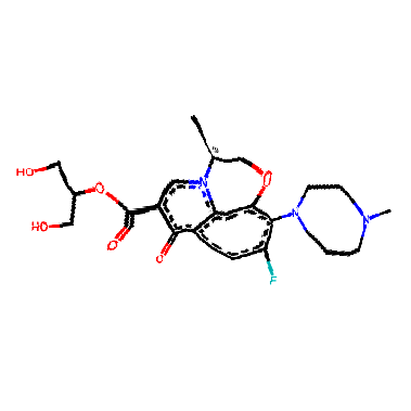 C[C@H]1COc2c(N3CCN(C)CC3)c(F)cc3c(=O)c(C(=O)OC(CO)CO)cn1c23